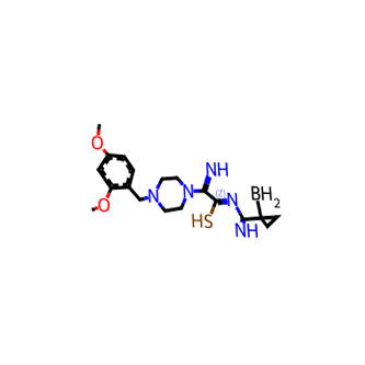 BC1(C(=N)/N=C(\S)C(=N)N2CCN(Cc3ccc(OC)cc3OC)CC2)CC1